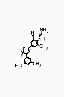 Cc1cc(C)cc(C(/C=C/c2cc(C)c(N/C=C/N)c(C#N)c2)C(F)(F)F)c1